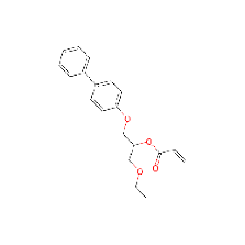 C=CC(=O)OC(COCC)COc1ccc(-c2ccccc2)cc1